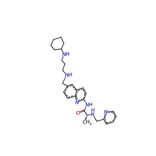 C[C@H](NCc1ccccn1)C(=O)Nc1ccc2cc(CNCCCNC3CCCCC3)ccc2n1